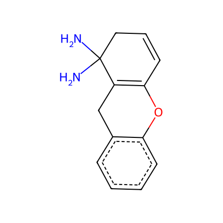 NC1(N)CC=CC2=C1Cc1ccccc1O2